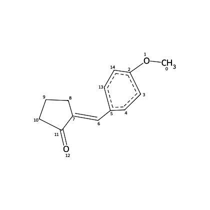 COc1ccc(/C=C2\CCCC2=O)cc1